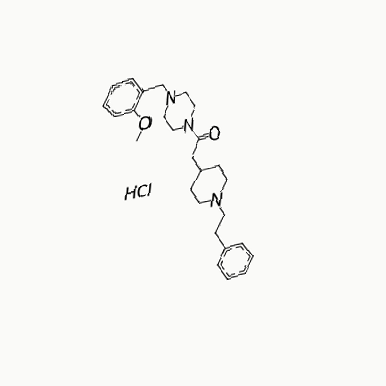 COc1ccccc1CN1CCN(C(=O)CC2CCN(CCc3ccccc3)CC2)CC1.Cl